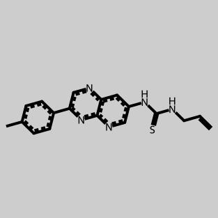 C=CCNC(=S)Nc1cnc2nc(-c3ccc(C)cc3)cnc2c1